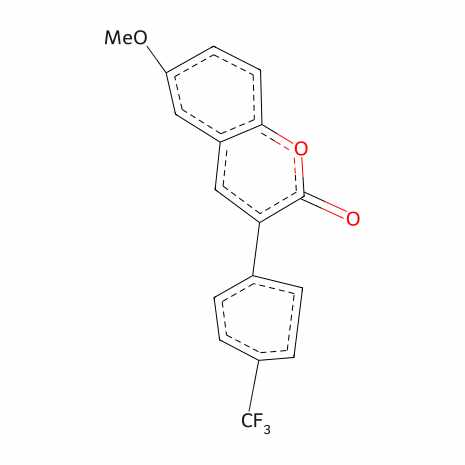 COc1ccc2oc(=O)c(-c3ccc(C(F)(F)F)cc3)cc2c1